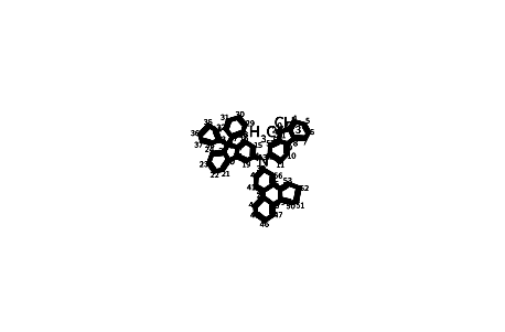 CC1(C)c2ccccc2-c2ccc(N(c3ccc4c(c3)-c3ccccc3C4(c3ccccc3)c3ccccc3)c3ccc4c5ccccc5c5ccccc5c4c3)cc21